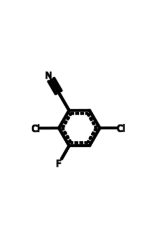 N#Cc1cc(Cl)cc(F)c1Cl